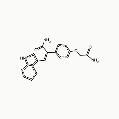 NC(=O)COc1ccc(C(=Cc2c[nH]c3ncccc23)C(N)=O)cc1